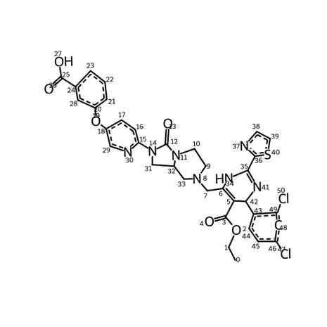 CCOC(=O)C1=C(CN2CCN3C(=O)N(c4ccc(Oc5cccc(C(=O)O)c5)cn4)CC3C2)NC(c2nccs2)=NC1c1ccc(Cl)cc1Cl